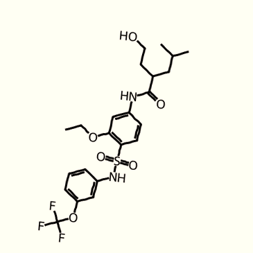 CCOc1cc(NC(=O)C(CCO)CC(C)C)ccc1S(=O)(=O)Nc1cccc(OC(F)(F)F)c1